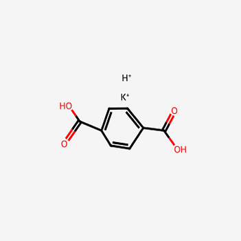 O=C(O)c1ccc(C(=O)O)cc1.[H+].[K+]